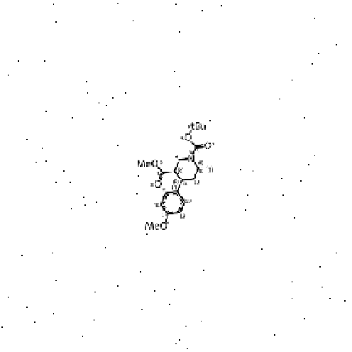 COC(=O)[C@H]1CN(C(=O)OC(C)(C)C)[C@H](C)C[C@H]1c1ccc(OC)cc1